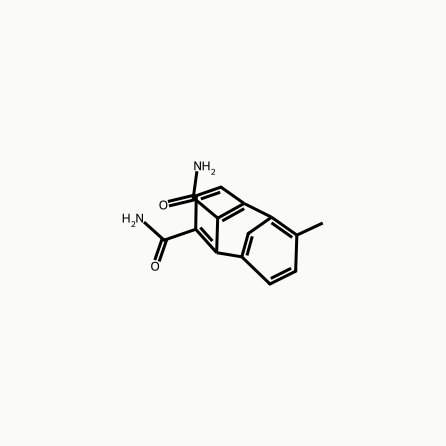 Cc1ccc2cc1c1ccc(C(N)=O)c2c1C(N)=O